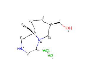 Cl.Cl.OC[C@@H]1CC[C@H]2CNCCN2C1